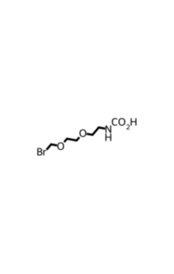 O=C(O)NCCOCCOCBr